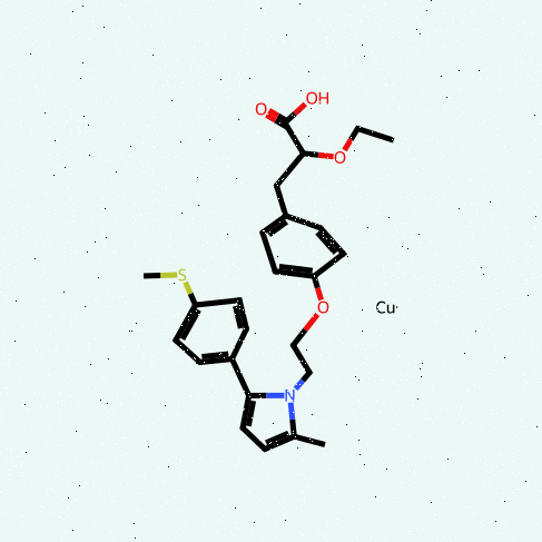 CCOC(Cc1ccc(OCCn2c(C)ccc2-c2ccc(SC)cc2)cc1)C(=O)O.[Cu]